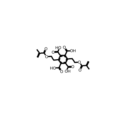 C=C(C)C(=O)OCCc1c(C(=O)O)c(C(=O)O)c(CCOC(=O)C(=C)C)c(C(=O)O)c1C(=O)O